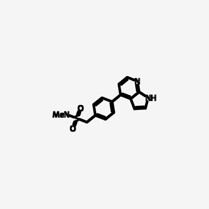 CNS(=O)(=O)Cc1ccc(-c2ccnc3[nH]ccc23)cc1